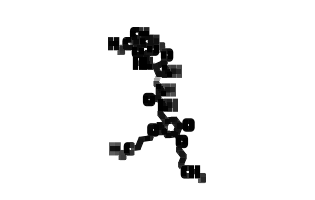 CCCCOc1cn(OCCCC)c(CNC(=O)NC[C@H]2NC(=O)[C@H]2NC(=O)OC(C)(C)C)cc1=O